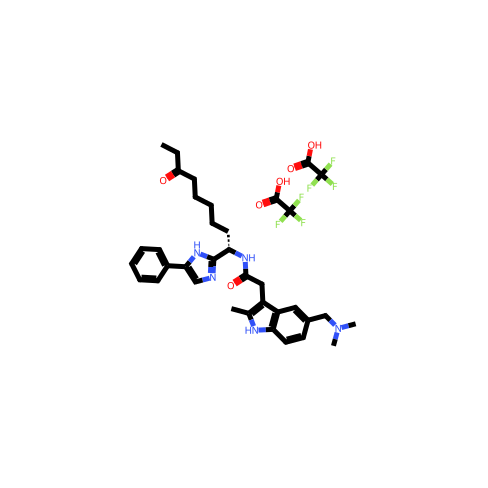 CCC(=O)CCCCC[C@H](NC(=O)Cc1c(C)[nH]c2ccc(CN(C)C)cc12)c1ncc(-c2ccccc2)[nH]1.O=C(O)C(F)(F)F.O=C(O)C(F)(F)F